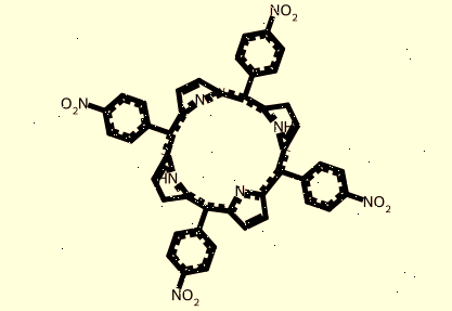 O=[N+]([O-])c1ccc(-c2c3nc(c(-c4ccc([N+](=O)[O-])cc4)c4[nH]c(c(-c5ccc([N+](=O)[O-])cc5)c5nc(c(-c6ccc([N+](=O)[O-])cc6)c6[nH]c2CC=6)C=C5)CC=4)C=C3)cc1